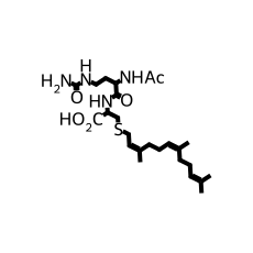 CC(=O)NC(CCNC(N)=O)C(=O)NC(CSCC=C(C)CCC=C(C)CCC=C(C)C)C(=O)O